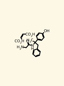 CC(Cc1ccccc1)(NC(=O)CN)c1ccc(O)cc1.O=C(O)/C=C\C(=O)O